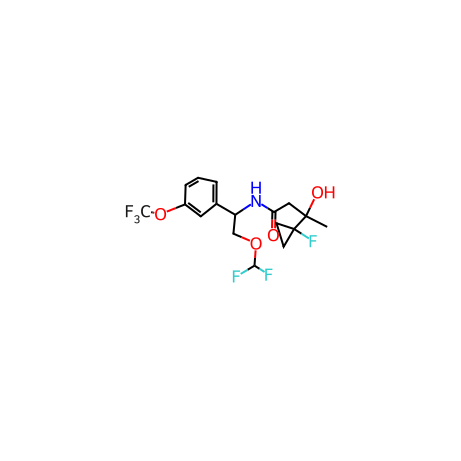 CC(O)(CC(=O)NC(COC(F)F)c1cccc(OC(F)(F)F)c1)C1(F)CC1